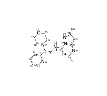 Cc1cc(NCC(c2ccccn2)N2CCOCC2)n2nc(C)cc2n1